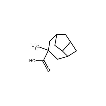 CC1(C(=O)O)CC2CC3CC(C1)C3C2